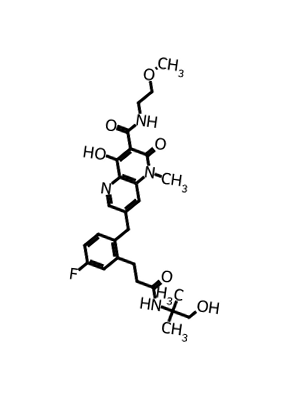 COCCNC(=O)c1c(O)c2ncc(Cc3ccc(F)cc3CCC(=O)NC(C)(C)CO)cc2n(C)c1=O